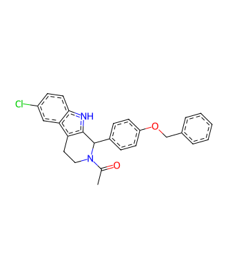 CC(=O)N1CCc2c([nH]c3ccc(Cl)cc23)C1c1ccc(OCc2ccccc2)cc1